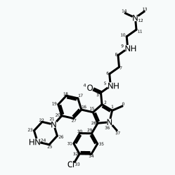 Cc1c(C(=O)NCCCNCCN(C)C)c(-c2cccc(N3CCNCC3)c2)c(-c2ccc(Cl)cc2)n1C